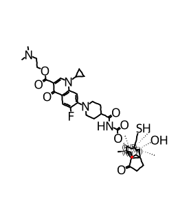 C[C@@H]1CCC23CCC(=O)C2[C@]1(C)[C@H](OC(=O)NC(=O)C1CCN(c2cc4c(cc2F)c(=O)c(C(=O)OCCN(C)C)cn4C2CC2)CC1)C[C@@](C)(S)[C@@H](O)[C@@H]3C